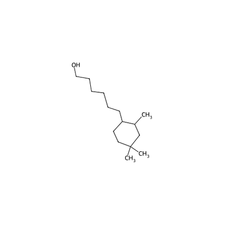 CC1CC(C)(C)CCC1CCCCCCO